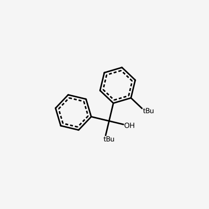 CC(C)(C)c1ccccc1C(O)(c1ccccc1)C(C)(C)C